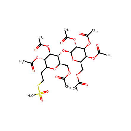 CC(=O)OC[C@H]1O[C@@H](O[C@H]2[C@H](OC(C)=O)[C@@H](OC(C)=O)[C@H](CCSS(C)(=O)=O)O[C@@H]2COC(C)=O)[C@H](OC(C)=O)[C@@H](OC(C)=O)[C@H]1OC(C)=O